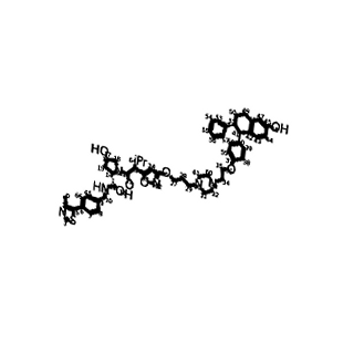 Cc1ncsc1-c1ccc(CNC(=O)[C@@H]2C[C@@H](O)CN2C(O)C(c2cc(OCCCN3CCN(CCOc4ccc([C@@H]5c6ccc(O)cc6CC[C@@H]5c5ccccc5)cc4)CC3)no2)C(C)C)cc1